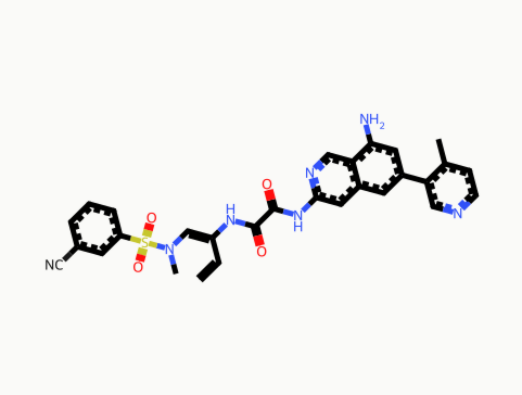 C=C/C(=C\N(C)S(=O)(=O)c1cccc(C#N)c1)NC(=O)C(=O)Nc1cc2cc(-c3cnccc3C)cc(N)c2cn1